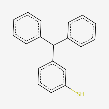 Sc1cccc(C(c2ccccc2)c2ccccc2)c1